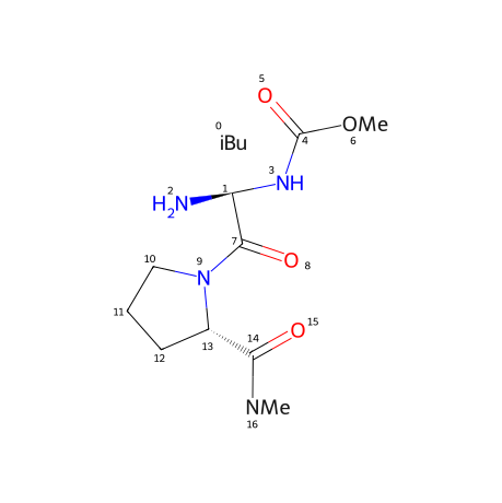 CC[C@H](C)[C@](N)(NC(=O)OC)C(=O)N1CCC[C@H]1C(=O)NC